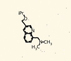 CC(C)OCc1cnc2c(CN(C)C)cccc2c1